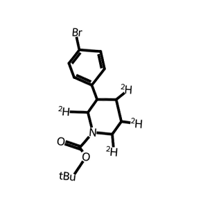 [2H]C1C([2H])C([2H])N(C(=O)OC(C)(C)C)C([2H])C1c1ccc(Br)cc1